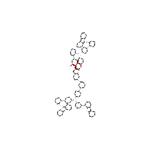 c1cc(-c2ccc(N(c3ccc(-c4ccccc4-n4c5ccccc5c5ccccc54)cc3)c3cccc(-c4cccc5c4oc4ccccc45)c3)cc2)cc(-c2ccc3c(c2)oc2c(-c4cccc(N(c5ccc(-c6ccccc6-n6c7ccccc7c7ccccc76)cc5)c5ccccc5-c5ccc6ccccc6c5)c4)cccc23)c1